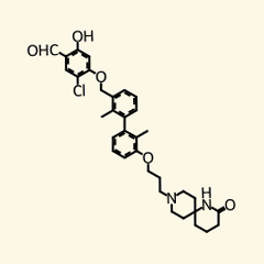 Cc1c(COc2cc(O)c(C=O)cc2Cl)cccc1-c1cccc(OCCCN2CCC3(CCCC(=O)N3)CC2)c1C